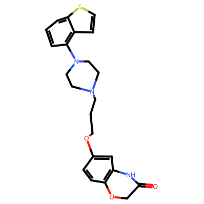 O=C1COc2ccc(OCCCN3CCN(c4cccc5sccc45)CC3)cc2N1